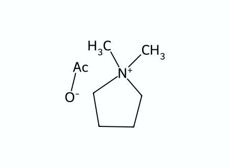 CC(=O)[O-].C[N+]1(C)CCCC1